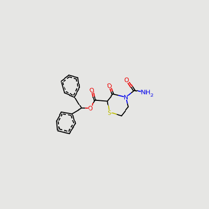 NC(=O)N1CCSC(C(=O)OC(c2ccccc2)c2ccccc2)C1=O